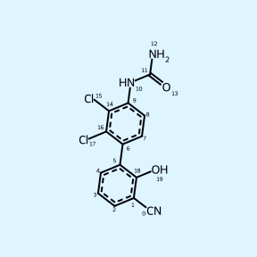 N#Cc1cccc(-c2ccc(NC(N)=O)c(Cl)c2Cl)c1O